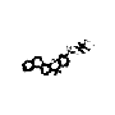 CC1(C)c2ccc(BOC(C)(C)C(C)(C)P)cc2Oc2c1ccc1c2CCc2ccccc2-1